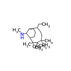 CCC1CCC(C)(C)C(C)(C)C(C)(C)C2CCC1=CC2NC